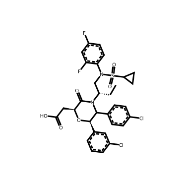 CC[C@@H](CN(c1ccc(F)cc1F)S(=O)(=O)C1CC1)N1C(=O)[C@H](CC(=O)O)O[C@H](c2cccc(Cl)c2)C1c1ccc(Cl)cc1